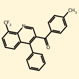 Cc1ccc(C(=O)c2cnc3c(C(F)(F)F)cccc3c2-c2ccccc2)cc1